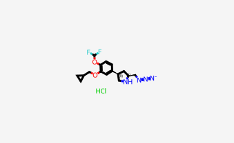 Cl.[N-]=[N+]=NC[C@@H]1C[C@H](c2ccc(OC(F)F)c(OCC3CC3)c2)CN1